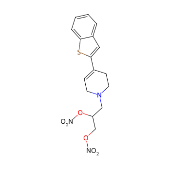 O=[N+]([O-])OCC(CN1CC=C(c2cc3ccccc3s2)CC1)O[N+](=O)[O-]